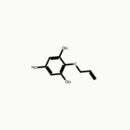 C=CCOc1c(O)cc(O)cc1O